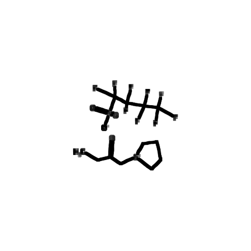 CCC(=O)C[S+]1CCCC1.O=S(=O)([O-])C(F)(F)C(F)(F)C(F)(F)C(F)(F)F